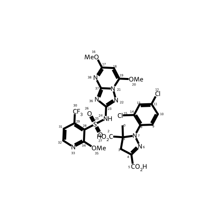 CC1(C(=O)O)CC(C(=O)O)=NN1c1ccc(Cl)cc1Cl.COc1cc(OC)n2nc(NS(=O)(=O)c3c(C(F)(F)F)ccnc3OC)nc2n1